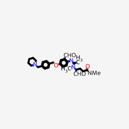 CNC(=O)CCC(C=O)N(C)/C(C)=N\c1ccc(OCc2ccc(CN3CCCCC3)cc2)cc1C=O